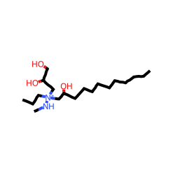 CCCCCCCCCCC(O)C[N+](CCC)(CC(O)CO)NC